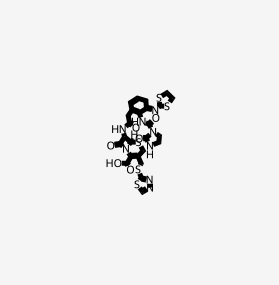 O=C(CC1=C(NC(=O)N2CCNC2=O)C(=NC2SCCS2)CC=C1)NC1C(=O)N2C(C(=O)O)=C(CSc3nncs3)CS[C@@H]12